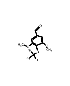 [2H]C([2H])([2H])Oc1c(OC)cc(C=O)cc1OC